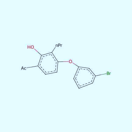 CCCc1c(Oc2cccc(Br)c2)ccc(C(C)=O)c1O